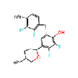 CCCc1ccc(Cc2cc(C3CCC(CCC)CO3)c(F)c(F)c2O)c(F)c1F